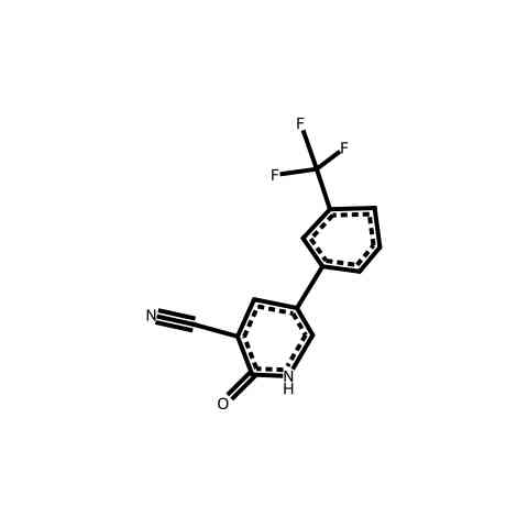 N#Cc1cc(-c2cccc(C(F)(F)F)c2)c[nH]c1=O